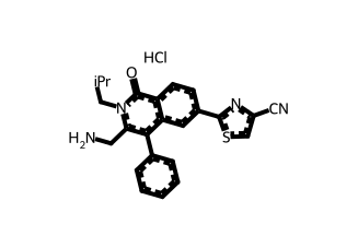 CC(C)Cn1c(CN)c(-c2ccccc2)c2cc(-c3nc(C#N)cs3)ccc2c1=O.Cl